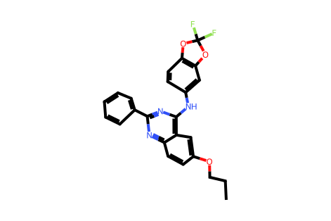 CCCOc1ccc2nc(-c3ccccc3)nc(Nc3ccc4c(c3)OC(F)(F)O4)c2c1